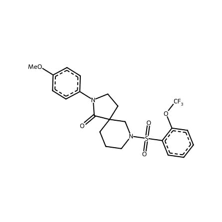 COc1ccc(N2CCC3(CCCN(S(=O)(=O)c4ccccc4OC(F)(F)F)C3)C2=O)cc1